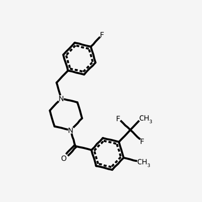 Cc1ccc(C(=O)N2CCN(Cc3ccc(F)cc3)CC2)cc1C(C)(F)F